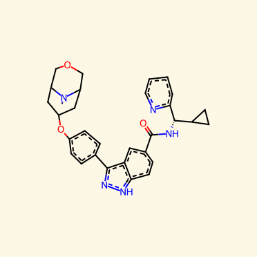 CN1C2COCC1CC(Oc1ccc(-c3n[nH]c4ccc(C(=O)N[C@H](c5ccccn5)C5CC5)cc34)cc1)C2